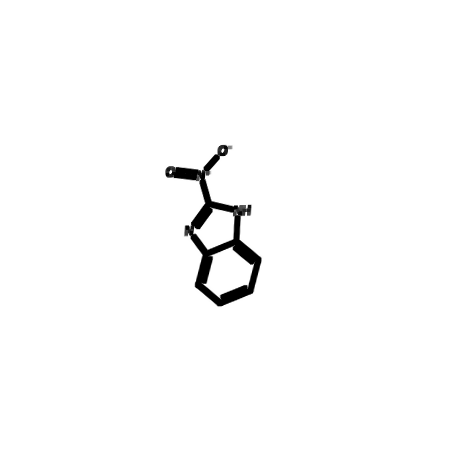 O=[N+]([O-])c1nc2ccccc2[nH]1